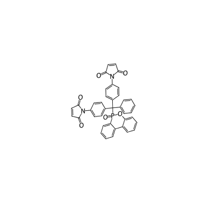 O=C1C=CC(=O)N1c1ccc(C(c2ccccc2)(c2ccc(N3C(=O)C=CC3=O)cc2)P2(=O)Oc3ccccc3-c3ccccc32)cc1